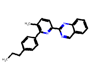 CCCc1ccc(-c2nc(-c3ncc4ccccc4n3)ccc2C)cc1